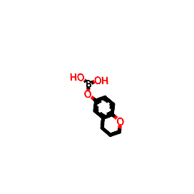 OB(O)Oc1ccc2c(c1)CCCO2